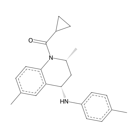 Cc1ccc(N[C@H]2C[C@@H](C)N(C(=O)C3CC3)c3ccc(C)cc32)cc1